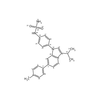 Cc1ccc(-c2ccc3c(C(C)C)cn(-c4ccc(NS(N)(=O)=O)cc4)c3c2)cc1